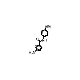 CCCCc1ccc(NC(=O)c2ccc(N)s2)cc1